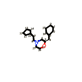 C1CCC(C[C@@H]2CN(CCC3CCCC3)CCO2)CC1